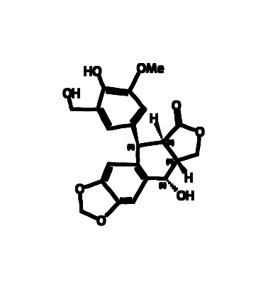 COc1cc([C@@H]2c3cc4c(cc3[C@@H](O)[C@H]3COC(=O)[C@H]23)OCO4)cc(CO)c1O